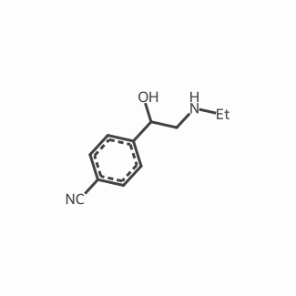 CCNCC(O)c1ccc(C#N)cc1